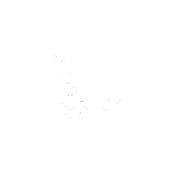 C=CC(=O)N1CCCC(n2cc(C(=O)Nc3ccc(CC(=O)N(C)C)cc3)c3c(N)ncnc32)C1